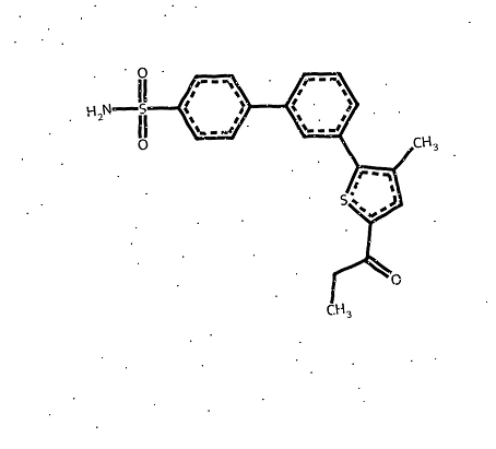 CCC(=O)c1cc(C)c(-c2cccc(-c3ccc(S(N)(=O)=O)cc3)c2)s1